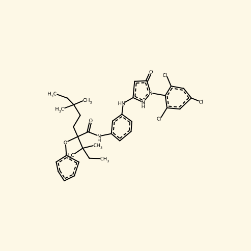 CCC(C)(C)CCC(Oc1ccccc1)(C(=O)Nc1cccc(Nc2cc(=O)n(-c3c(Cl)cc(Cl)cc3Cl)[nH]2)c1)C(C)(C)CC